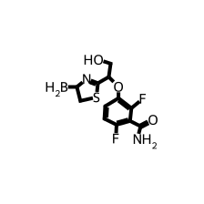 BC1CSC(C(CO)Oc2ccc(F)c(C(N)=O)c2F)=N1